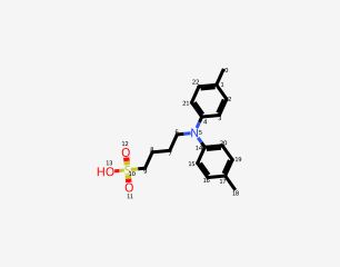 Cc1ccc(N(CCCCS(=O)(=O)O)c2ccc(C)cc2)cc1